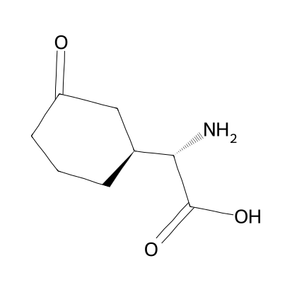 N[C@H](C(=O)O)[C@H]1CCCC(=O)C1